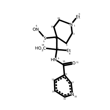 CCN1CCC(SN=O)(C(CC)(NC(=O)c2cccnc2)C(=O)O)CC1